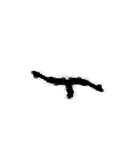 C=CC(=O)OCCCCCCOc1ccc(OC(=O)C2CCC(C(=O)Oc3ccc(OC(=O)C4CCC(C(=O)Oc5ccc(OCCCCCCOC(=O)C=C)cc5)CC4)c4sc(-c5ccc(N=C=S)cc5)nc34)CC2)cc1